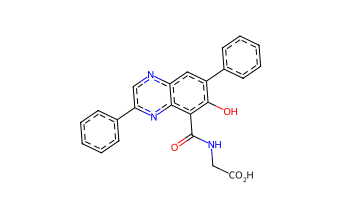 O=C(O)CNC(=O)c1c(O)c(-c2ccccc2)cc2ncc(-c3ccccc3)nc12